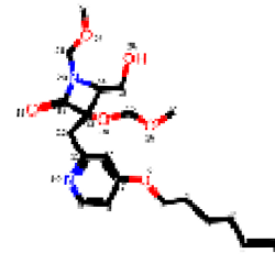 C=CCCCCOc1ccnc(CC2(OCOC)C(=O)N(COC)C2CO)c1